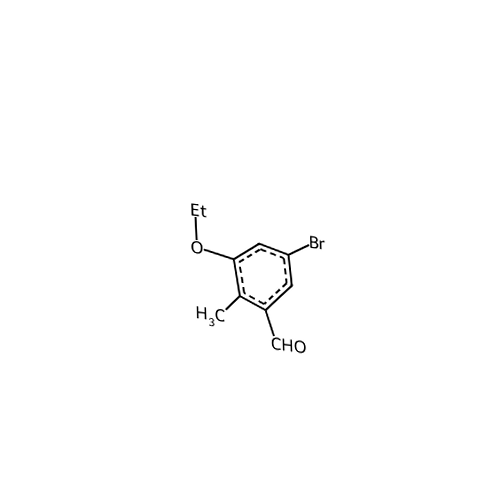 CCOc1cc(Br)cc(C=O)c1C